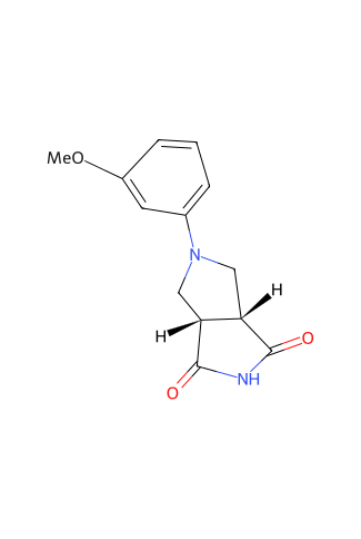 COc1cccc(N2C[C@@H]3C(=O)NC(=O)[C@@H]3C2)c1